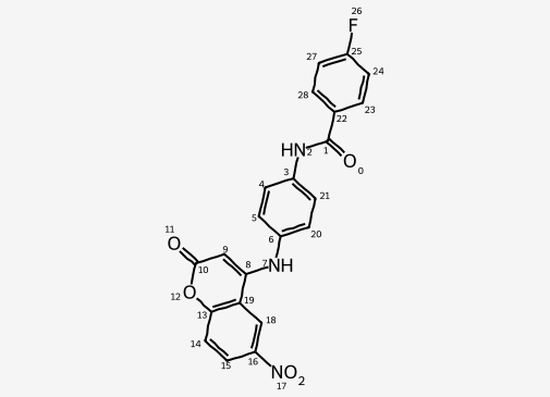 O=C(Nc1ccc(Nc2cc(=O)oc3ccc([N+](=O)[O-])cc23)cc1)c1ccc(F)cc1